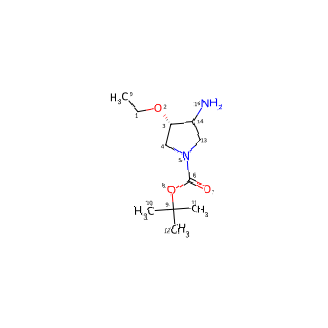 CCO[C@H]1CN(C(=O)OC(C)(C)C)CC1N